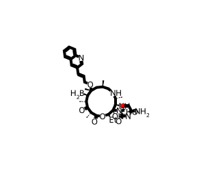 B[C@@H]1[C@@H](C)C(=O)[C@@H](C)C(=O)O[C@H](CC)[C@](O)(n2ccc(N)nc2=O)[C@H](NC=O)[C@@H](C)NC[C@H](C)C[C@@]1(C)OC/C=C/c1cnc2ccccc2c1